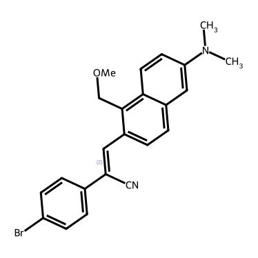 COCc1c(/C=C(\C#N)c2ccc(Br)cc2)ccc2cc(N(C)C)ccc12